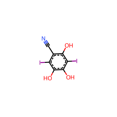 N#Cc1c(O)c(I)c(O)c(O)c1I